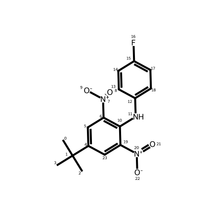 CC(C)(C)c1cc([N+](=O)[O-])c(Nc2ccc(F)cc2)c([N+](=O)[O-])c1